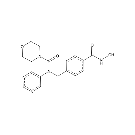 O=C(NO)c1ccc(CN(C(=O)N2CCOCC2)c2cccnc2)cc1